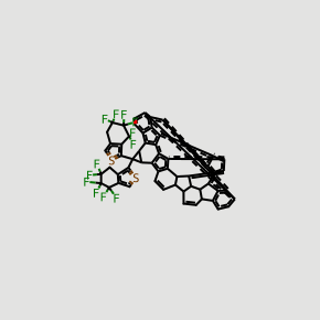 FC1(F)Cc2c(csc2C2(c3scc4c3C(F)(F)C(F)(F)C(F)(F)C4)C3c4c5c6c7c4c4c(c8ccc9c%10ccc%11c%12c%13c%14c(c7c7c%14c(c%12%10)c9c8c47)=C4C6C(C=C5)C5C=CC%11C%13C45)C32)C(F)(F)C1(F)F